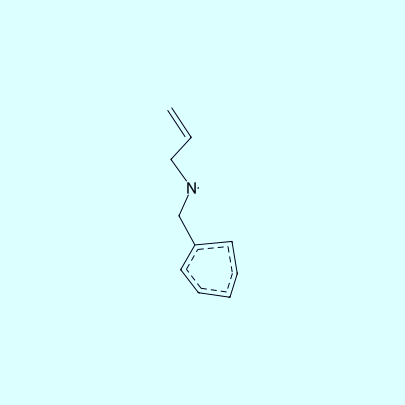 C=CC[N]Cc1ccccc1